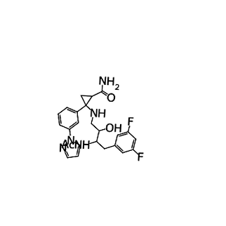 CC(=O)NC(Cc1cc(F)cc(F)c1)C(O)CNC1(c2cccc(-n3cccn3)c2)CC1C(N)=O